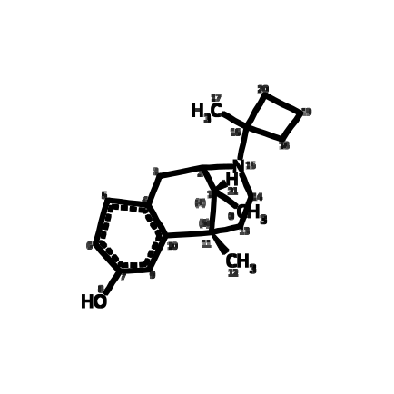 C[C@H]1C2Cc3ccc(O)cc3[C@@]1(C)CCN2C1(C)CCC1